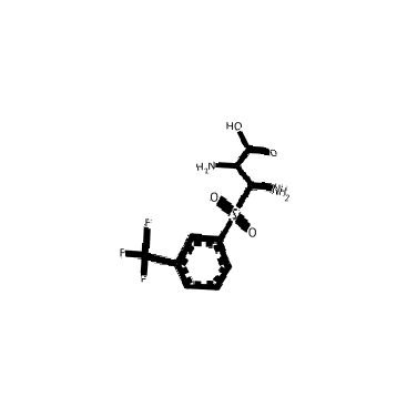 NC(C(=O)O)C(N)S(=O)(=O)c1cccc(C(F)(F)F)c1